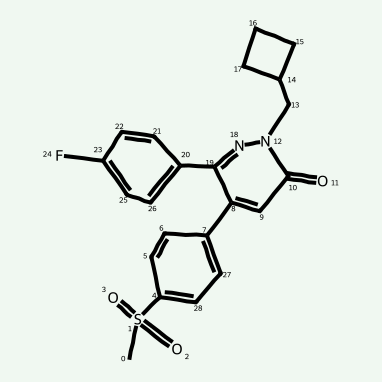 CS(=O)(=O)c1ccc(-c2cc(=O)n(CC3CCC3)nc2-c2ccc(F)cc2)cc1